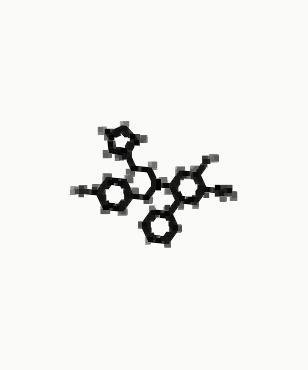 Nc1cc(-c2ccccc2)c(N(CCn2cncn2)Cc2ccc(F)cc2)cc1F